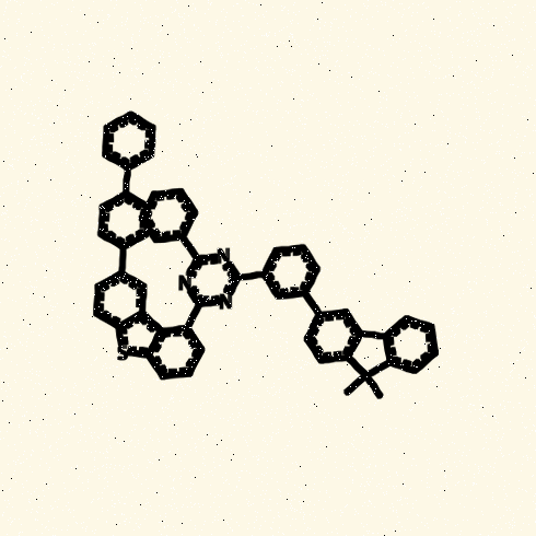 CC1(C)c2ccccc2-c2cc(-c3cccc(-c4nc(-c5ccccc5)nc(-c5cccc6sc7ccc(-c8ccc(-c9ccccc9)cc8)cc7c56)n4)c3)ccc21